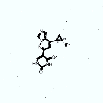 CC(C)[C@H]1C[C@@H]1c1cc(-c2c[nH]c(=O)[nH]c2=O)nn2cncc12